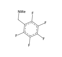 CNCc1c(F)c(F)c(F)c(F)c1F